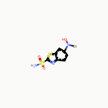 CCN(O)c1ccc2nc(S(N)(=O)=O)sc2c1